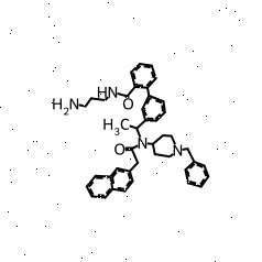 CC(c1cccc(-c2ccccc2C(=O)NCCCN)c1)N(C(=O)Cc1ccc2ccccc2c1)C1CCN(Cc2ccccc2)CC1